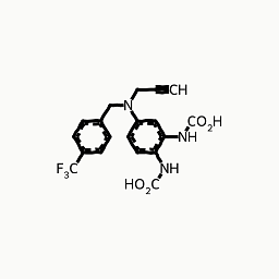 C#CCN(Cc1ccc(C(F)(F)F)cc1)c1ccc(NC(=O)O)c(NC(=O)O)c1